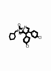 O=c1n(CC2CCCCC2)nc2c(-c3ccc(Cl)cc3)c(-c3ccc(Cl)cc3)cnn12